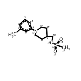 Cc1ccnc(N2CCC(COS(C)(=O)=O)CC2)c1